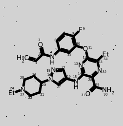 C=CC(=O)Nc1ccc(F)c(Oc2nc(Nc3cnn(C4CCN(CC)CC4)c3)c(C(N)=O)nc2CC)c1